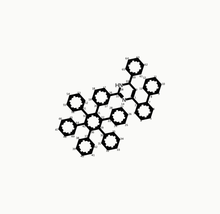 C1=C(c2ccccc2-c2ccccc2)N=C(c2cccc(-c3c(-c4ccccc4)c(-c4ccccc4)c(-c4ccccc4)c(-c4ccccc4)c3-c3ccccc3)c2)NC1c1ccccc1